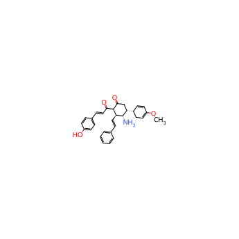 COC1=CCC([C@H]2CC(=O)C(C(=O)/C=C/c3ccc(O)cc3)[C@H](/C=C/c3ccccc3)[C@H]2N)C=C1